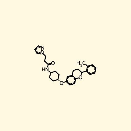 Cc1ccccc1C1CCc2cc(O[C@H]3CC[C@H](NC(=O)CCn4cccn4)CC3)ccc2O1